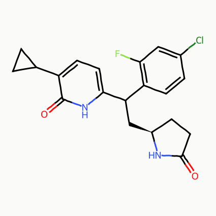 O=C1CC[C@H](CC(c2ccc(C3CC3)c(=O)[nH]2)c2ccc(Cl)cc2F)N1